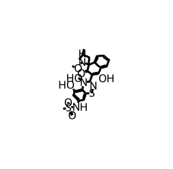 CONC1(CC(C)C)C(=O)C(C2=NSc3cc(NS(C)(=O)=O)cc(O)c3N2O)=C(O)c2ccccc21